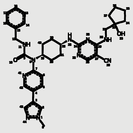 Cn1cc(-c2ccc(N(C(=O)NCc3ccccc3)[C@H]3CC[C@@H](Nc4ncc(C#N)c(NCC5(O)CCCC5)n4)CC3)nc2)cn1